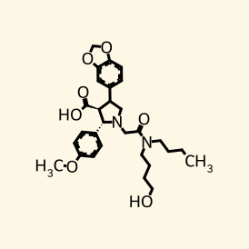 CCCCN(CCCCO)C(=O)CN1CC(c2ccc3c(c2)OCO3)[C@H](C(=O)O)[C@H]1c1ccc(OC)cc1